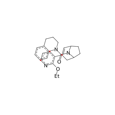 CCOc1ncccc1C1=CC2CCC(C1)N2C(=O)N1CCCc2ccccc21